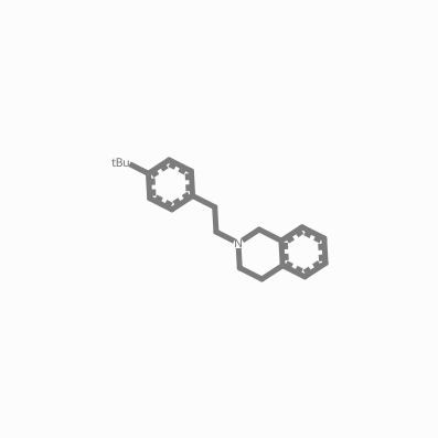 CC(C)(C)c1ccc(CCN2CCc3ccccc3C2)cc1